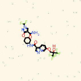 NC(=O)c1cn(C(F)F)nc1O[C@H]1CC[C@H](NC(=O)c2cnn3cc(OCC(O)(C(F)(F)F)C(F)(F)F)ccc23)CC1